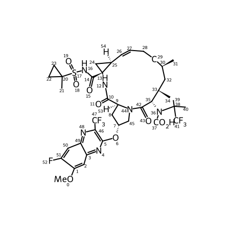 COc1cc2nc(O[C@@H]3C[C@H]4C(=O)N[C@]5(C(=O)NS(=O)(=O)C6(C)CC6)C[C@H]5C=CCC[C@@H](C)C[C@@H](C)[C@H](N(C(=O)O)C(C)(C)C(F)(F)F)C(=O)N4C3)c(C(F)(F)F)nc2cc1F